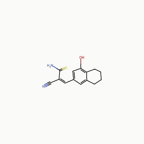 N#C/C(=C/c1cc(O)c2c(c1)CCCC2)C(N)=S